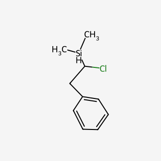 C[SiH](C)C(Cl)Cc1ccccc1